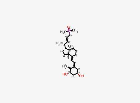 C=C1/C(=C\C=C2/CCC[C@]3(C)[C@@H]([C@H](C)/C=C/CP(C)(C)=O)CC[C@@H]23)C[C@@H](O)C[C@@H]1O